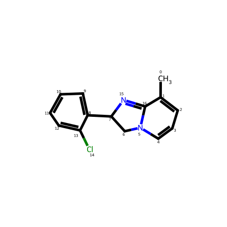 CC1=CC=CN2CC(c3ccccc3Cl)N=C12